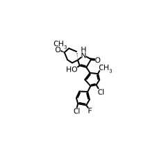 CO[C@H]1CC[C@]2(CC1)NC(=O)C(c1cc(-c3ccc(Cl)c(F)c3)c(Cl)cc1C)=C2O